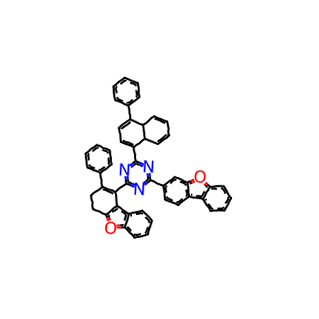 C1=CC2C(c3ccccc3)=CC=C(c3nc(C4=C(c5ccccc5)CCc5oc6ccccc6c54)nc(-c4ccc5c(c4)oc4ccccc45)n3)C2C=C1